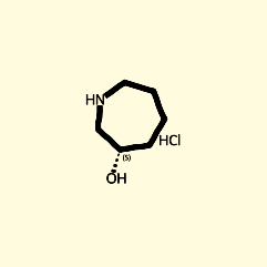 Cl.O[C@H]1CCCCNC1